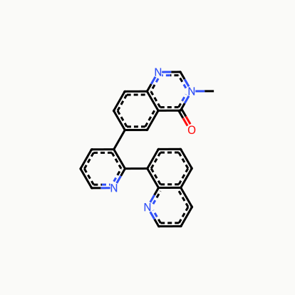 Cn1cnc2ccc(-c3cccnc3-c3cccc4cccnc34)cc2c1=O